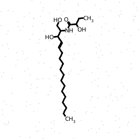 CCCCCCCCCCCCCC=CC(O)C(CO)NC(=O)C(O)CC